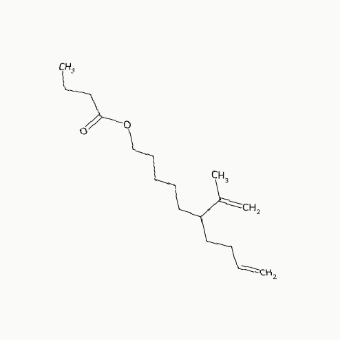 C=CCCC(CCCCCOC(=O)CCC)C(=C)C